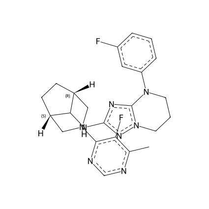 Cc1ncnc(N2C[C@H]3CC[C@@H](C2)C3Nc2nc3n(n2)CCCN3c2cccc(F)c2)c1F